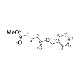 COC(=O)CCCC(=O)OCc1ccccc1